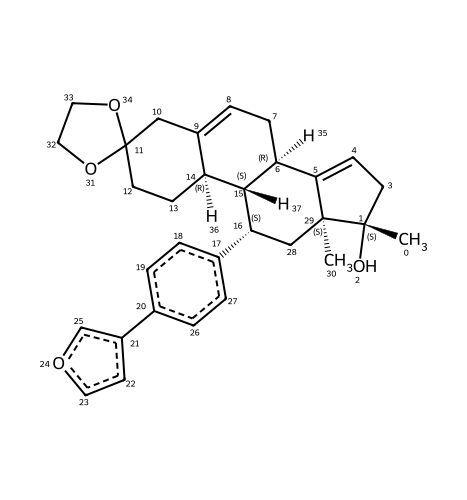 C[C@]1(O)CC=C2[C@@H]3CC=C4CC5(CC[C@@H]4[C@H]3[C@@H](c3ccc(-c4ccoc4)cc3)C[C@@]21C)OCCO5